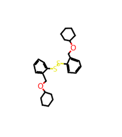 c1ccc(SSc2ccccc2COC2CCCCC2)c(COC2CCCCC2)c1